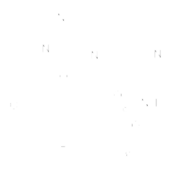 O=S(=O)(Nc1cncc(-c2ccc3ncnc(OC4CCOCC4)c3n2)c1)c1ccc(F)cc1Br